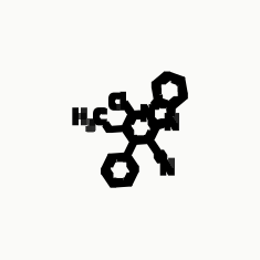 CCc1c(-c2ccccc2)c(C#N)c2nc3ccccc3n2c1Cl